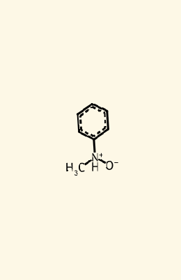 C[NH+]([O-])c1ccccc1